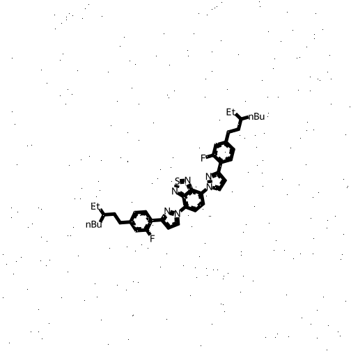 CCCCC(CC)CCc1ccc(-c2ccn(-c3ccc(-n4ccc(-c5ccc(CCC(CC)CCCC)cc5F)n4)c4nsnc34)n2)c(F)c1